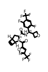 O=C(N[C@@H](c1cc(F)c(C(F)(F)F)cc1F)C1COC1)[C@H]1C[C@H]2C#C[C@H]2N1C(=O)c1cc(C(F)(F)F)no1